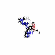 CCN1CCCC1CNCCn1cc(-c2cc3cccnc3[nH]2)c2cc(OC)c(OC)cc21